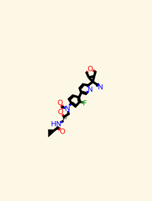 N#CC1(c2ccc(-c3ccc(N4C[C@H](CNC(=O)C5CC5)OC4=O)cc3F)cn2)C2COCC21